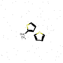 C.O=Cc1cccs1.c1ccsc1